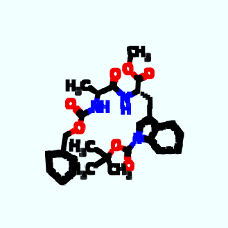 COC(=O)[C@H](Cc1cn(C(=O)OC(C)(C)C)c2ccccc12)NC(=O)[C@H](C)NC(=O)OCc1ccccc1